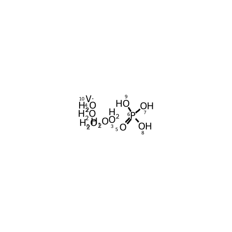 O.O.O.O.O.O=P(O)(O)O.[V]